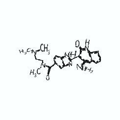 CN(C)CCN(C)C(=O)c1ccc2[nH]c(-c3c(N)c4ccccc4[nH]c3=O)nc2c1